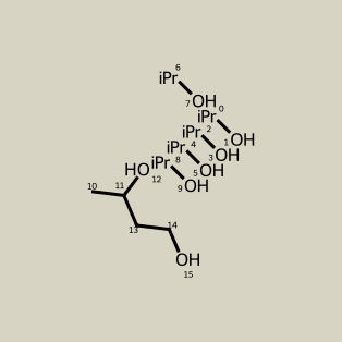 CC(C)O.CC(C)O.CC(C)O.CC(C)O.CC(C)O.CC(O)CCO